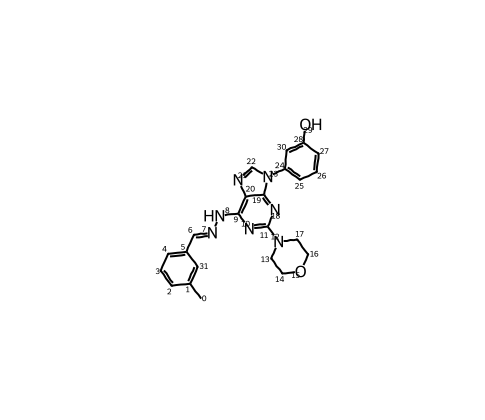 Cc1cccc(C=NNc2nc(N3CCOCC3)nc3c2ncn3-c2cccc(O)c2)c1